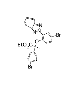 CCOC(=O)C(C)(Oc1ccc(Br)cc1-n1nc2ccccc2n1)c1ccc(Br)cc1